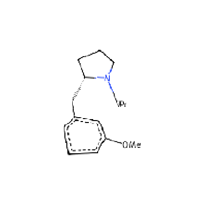 COc1cccc(C[C@@H]2CCCN2C(C)C)c1